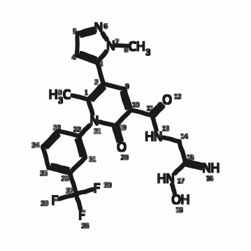 Cc1c(-c2ccnn2C)cc(C(=O)NCC(=N)NO)c(=O)n1-c1cccc(C(F)(F)F)c1